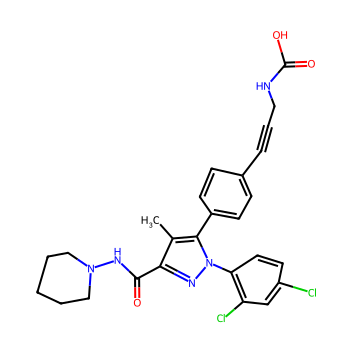 Cc1c(C(=O)NN2CCCCC2)nn(-c2ccc(Cl)cc2Cl)c1-c1ccc(C#CCNC(=O)O)cc1